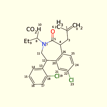 C=C(C)CC1C(=O)N(C(CC)C(=O)O)CC(c2ccccc2Cl)c2cc(Cl)ccc21